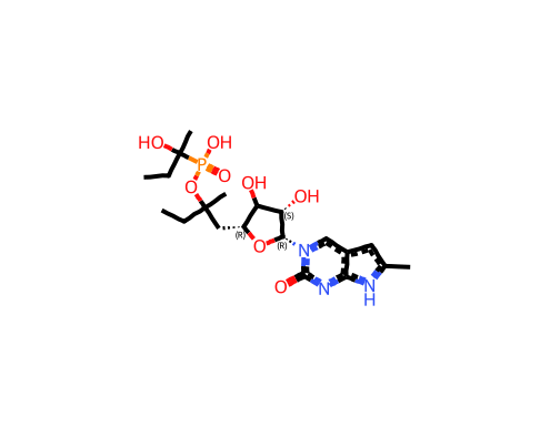 CCC(C)(C[C@H]1O[C@@H](n2cc3cc(C)[nH]c3nc2=O)[C@@H](O)C1O)OP(=O)(O)C(C)(O)CC